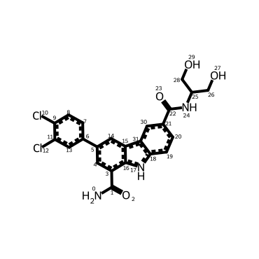 NC(=O)c1cc(-c2ccc(Cl)c(Cl)c2)cc2c1[nH]c1ccc(C(=O)NC(CO)CO)cc12